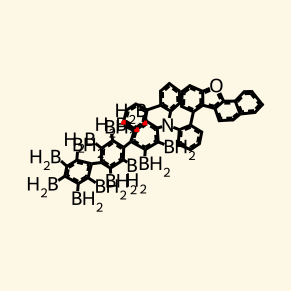 Bc1c(B)c(B)c(-c2c(B)c(B)c(-c3c(B)c(B)c(N(c4ccccc4-c4ccccc4)c4ccccc4-c4cccc5oc6c7ccccc7ccc6c45)c(B)c3B)c(B)c2B)c(B)c1B